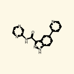 O=C(Nc1cnccn1)c1n[nH]c2ccc(-c3cccnc3)cc12